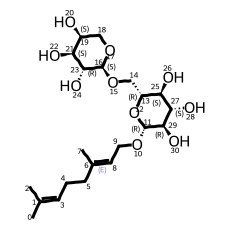 CC(C)=CCC/C(C)=C/CO[C@@H]1O[C@H](CO[C@@H]2OC[C@H](O)[C@H](O)[C@H]2O)[C@@H](O)[C@H](O)[C@H]1O